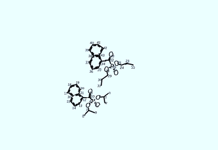 CC(C)OP(=O)(OC(C)C)C(=O)c1cccc2ccccc12.CCCOP(=O)(OCCC)C(=O)c1cccc2ccccc12